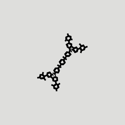 Cc1cc(C)c(-c2ccc3c(c2)c2cc(-c4c(C)cc(C)cc4C)ccc2n3-c2ccc(C(C)(C)c3ccc(C(C)(C)c4ccc(-n5c6ccc(-c7c(C)cc(C)cc7C)cc6c6cc(-c7c(C)cc(C)cc7C)ccc65)cc4)cc3)cc2)c(C)c1